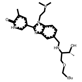 Cc1cc(-c2nc3cc(CNC(COCC(C)(C)C)[C@@H](C)O)ccc3n2CCN(C)C)c[nH]c1=O